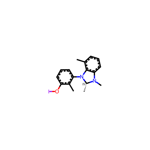 Cc1cccc2c1N(c1cccc(OI)c1C)[C@@H](C)N2C